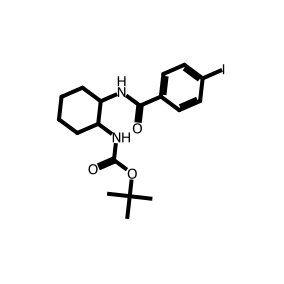 CC(C)(C)OC(=O)NC1CCCCC1NC(=O)c1ccc(I)cc1